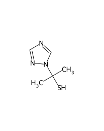 CC(C)(S)n1cncn1